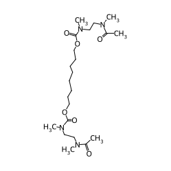 CC(=O)N(C)CCN(C)C(=O)OCCCCCCCCOC(=O)N(C)CCN(C)C(C)=O